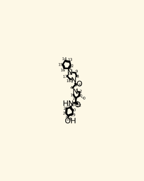 C[C@H]1CN(CC(=O)N2CCN(c3ccccc3)CC2)CC1C(=O)Nc1ccc(O)cc1